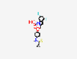 CN(C(=S)C1CC1)c1ccc(OCc2cc3c(F)cc(F)cc3n2C(=O)O)cc1